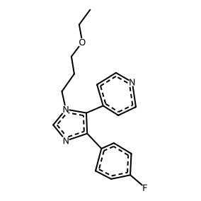 CCOCCCn1cnc(-c2ccc(F)cc2)c1-c1ccncc1